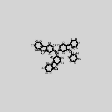 c1ccc(-n2c3ccccc3c3ccc(N(c4ccc5c(c4)oc4ccccc45)c4ccc5sc6ccccc6c5c4)cc32)cc1